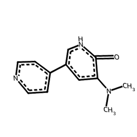 CN(C)c1cc(-c2ccncc2)c[nH]c1=O